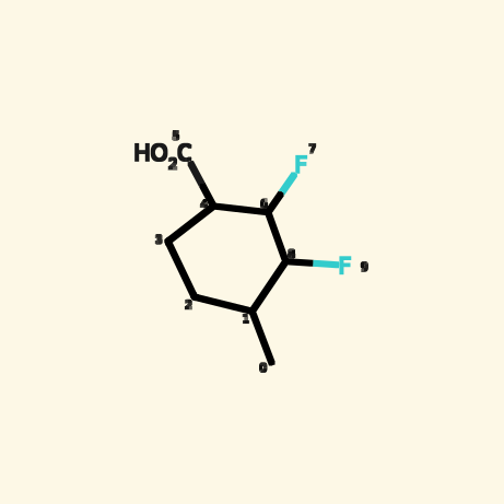 CC1CCC(C(=O)O)C(F)C1F